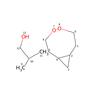 C1CC2CC2CCOO1.CC(C)CO